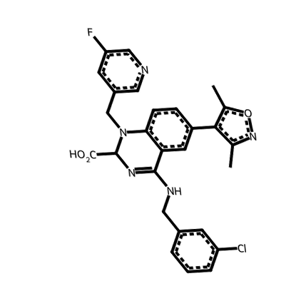 Cc1noc(C)c1-c1ccc2c(c1)C(NCc1cccc(Cl)c1)=NC(C(=O)O)N2Cc1cncc(F)c1